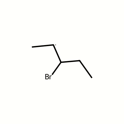 C[CH]C(Br)CC